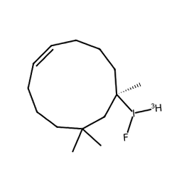 [3H]I(F)[C@]1(C)CCC/C=C\CCCC(C)(C)C1